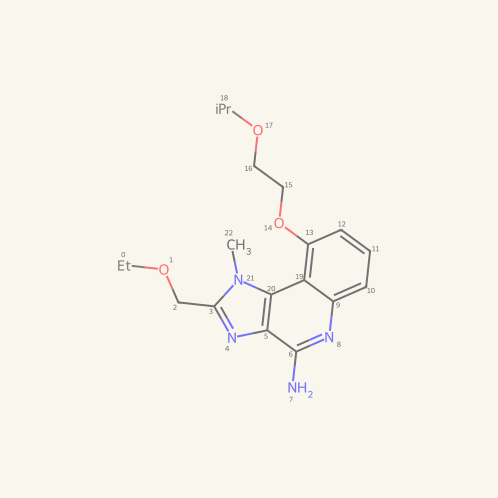 CCOCc1nc2c(N)nc3cccc(OCCOC(C)C)c3c2n1C